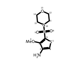 COc1c(N)csc1S(=O)(=O)N1CCOCC1